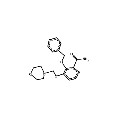 NC(=O)c1nccc(OCN2CCOCC2)c1OCc1ccccc1